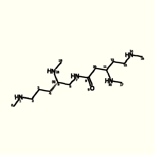 CNCCC[C@@H](CNC(=O)CC(CCNC)NC)NC